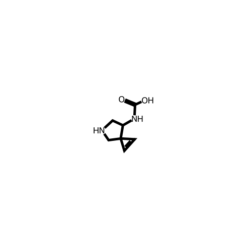 O=C(O)NC1CNCC12C=C2